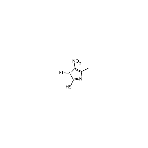 CCn1c(S)nc(C)c1[N+](=O)[O-]